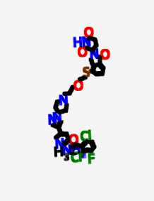 C[C@@H](Oc1cc(-c2cnn(C3CCN(CCCOCCSc4cccc5c4CN(C4CCC(=O)NC4=O)C5=O)CC3)c2)cnc1N)c1c(Cl)ccc(F)c1Cl